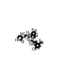 N#C[C@@H](C[C@H]1CCCNC1=O)NC(=O)[C@@H]1[C@@H]2CC(F)(F)C[C@@H]2CN1C(=O)c1cc2c(C(F)F)ccc(Cl)c2[nH]1